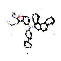 C=Nc1oc2ccc(N(c3ccc(-c4ccccc4)cc3)c3cc4ccc5ccccc5c4c4ccccc34)cc2c1/C=C\C